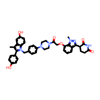 Cc1c(-c2ccc(O)cc2)n(Cc2ccc(N3CCN(C(=O)COc4cccc5c(C6CCC(=O)NC6=O)nn(C)c45)CC3)cc2)c2ccc(O)cc12